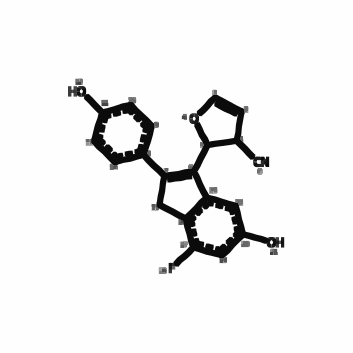 N#CC1C=COC1C1=C(c2ccc(O)cc2)Cc2c(F)cc(O)cc21